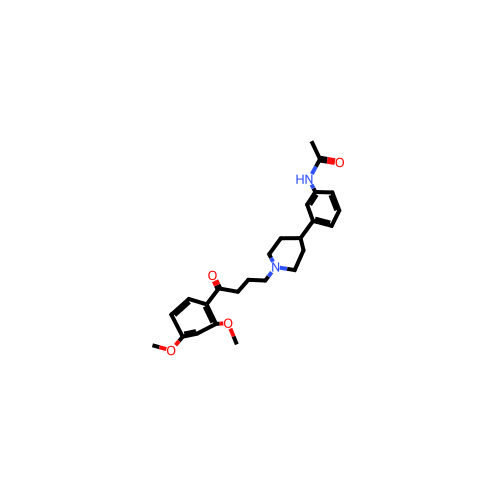 COc1ccc(C(=O)CCCN2CCC(c3cccc(NC(C)=O)c3)CC2)c(OC)c1